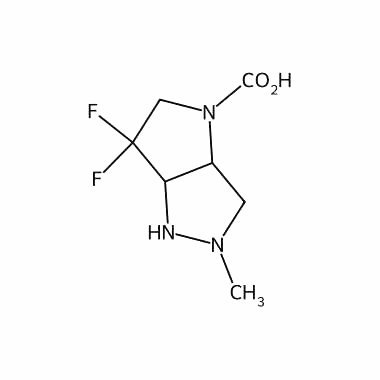 CN1CC2C(N1)C(F)(F)CN2C(=O)O